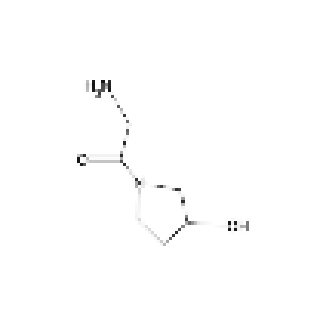 NCC(=O)N1CCC(O)C1